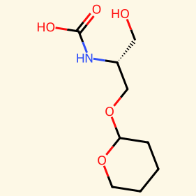 O=C(O)N[C@H](CO)COC1CCCCO1